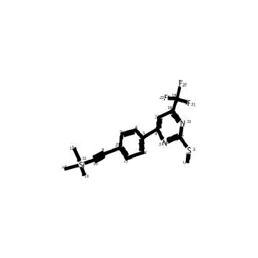 CSc1nc(-c2ccc(C#C[Si](C)(C)C)cc2)cc(C(F)(F)F)n1